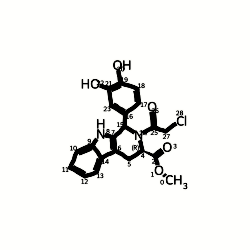 COC(=O)[C@H]1Cc2c([nH]c3ccccc23)C(c2ccc(O)c(O)c2)N1C(=O)CCl